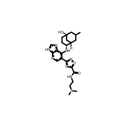 CC1C[C@H]2C[C@](O)(CC[C@@H]2Nc2c(-c3noc(C(=O)NCCN(C)C)n3)cnc3[nH]cnc23)C1